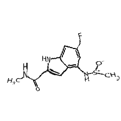 CNC(=O)c1cc2c(N[S+](C)[O-])cc(F)cc2[nH]1